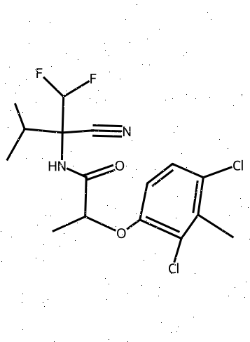 Cc1c(Cl)ccc(OC(C)C(=O)NC(C#N)(C(C)C)C(F)F)c1Cl